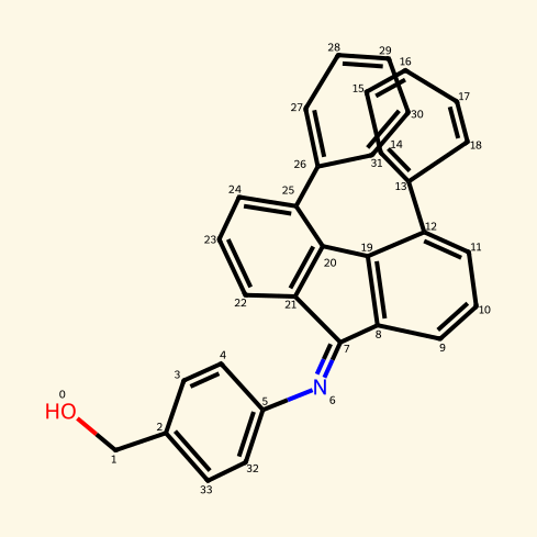 OCc1ccc(N=C2c3cccc(-c4ccccc4)c3-c3c2cccc3-c2ccccc2)cc1